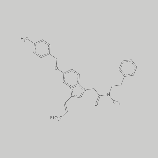 CCOC(=O)C=Cc1cn(CC(=O)N(C)CCc2ccccc2)c2ccc(OCc3ccc(C)cc3)cc12